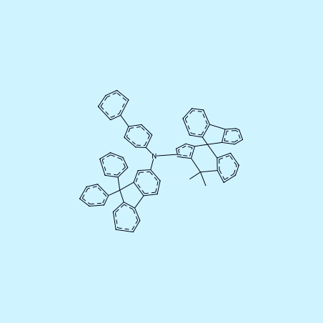 CC1(C)c2ccccc2C2(c3ccccc3-c3ccccc32)c2ccc(N(c3ccc(-c4ccccc4)cc3)c3ccc4c(c3)C(c3ccccc3)(c3ccccc3)c3ccccc3-4)cc21